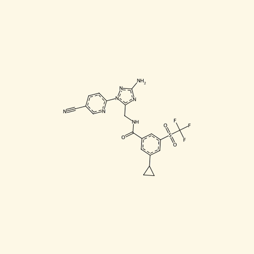 N#Cc1ccc(-n2nc(N)nc2CNC(=O)c2cc(C3CC3)cc(S(=O)(=O)C(F)(F)F)c2)nc1